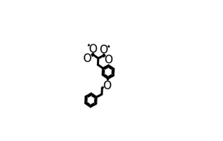 COC(=O)C(Cc1cccc(OCCc2ccccc2)c1)C(=O)OC